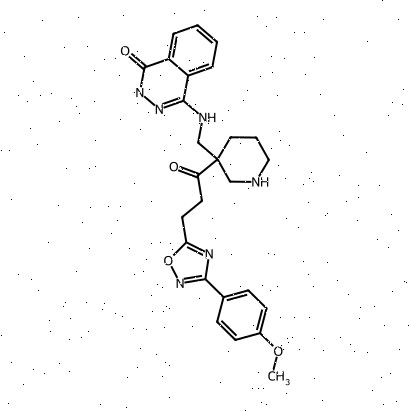 COc1ccc(-c2noc(CCC(=O)C3(CNC4=N[N]C(=O)c5ccccc54)CCCNC3)n2)cc1